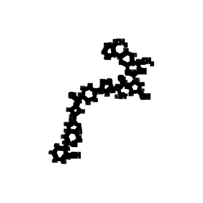 Cc1ncsc1-c1ccc([C@H](C)NC(=O)[C@@H]2C[C@@H](O)CN2C(=O)[C@H](c2cc(N3CCC(C(=O)N4CC(c5cc6cc(-c7ccccc7O)nnc6s5)C4)CC3)no2)C(C)C)cc1